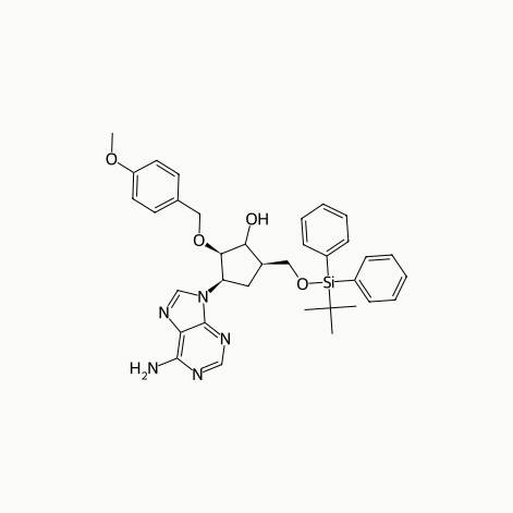 COc1ccc(CO[C@H]2C(O)[C@@H](CO[Si](c3ccccc3)(c3ccccc3)C(C)(C)C)C[C@H]2n2cnc3c(N)ncnc32)cc1